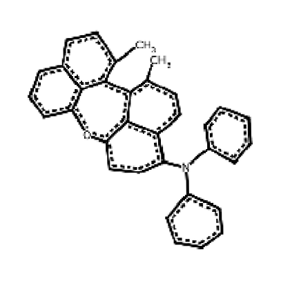 Cc1ccc2cccc3oc4ccc(N(c5ccccc5)c5ccccc5)c5ccc(C)c(c1c23)c45